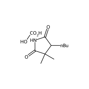 CCCCC1C(=O)NC(=O)C1(C)C.O=C(O)O